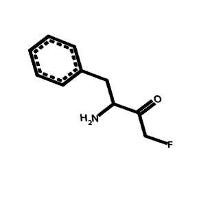 NC(Cc1ccccc1)C(=O)CF